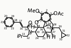 COc1cc(OC(C)=O)c2c3c1O[C@H]1[C@H](N(CC(C)C)C(=O)C=Cc4ccccc4)CC[C@H]4[C@@H](C2)N(CC2CC2)CC[C@@]341